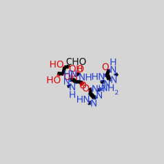 Nc1nc2nc[nH]c2c(=O)[nH]1.O=CC(O)C(O)C(O)CO.O=c1[nH]c(=O)c2[nH]cnc2[nH]1.O=c1[nH]cnc2nc[nH]c12